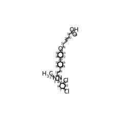 CCn1cc(-c2ccc(Cl)cc2Cl)nc1C=Cc1ccc(-c2ccc(OCCCCCCC(=O)O)cc2)cc1